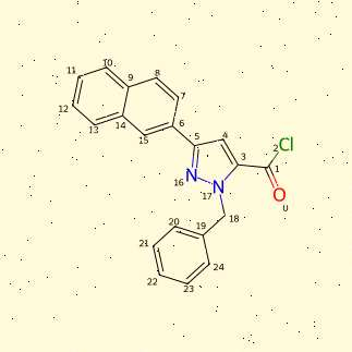 O=C(Cl)c1cc(-c2ccc3ccccc3c2)nn1Cc1ccccc1